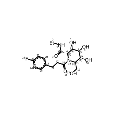 CCNC(=O)[C@@H]1[C@@H](O)[C@@H](O)[C@H](O)[C@@H](CO)N1C(=O)CCc1ccc(F)nc1